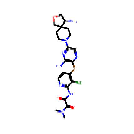 CN(C)C(=O)C(=O)Nc1nccc(Sc2ncc(N3CCC4(CC3)COC[C@H]4N)nc2N)c1Cl